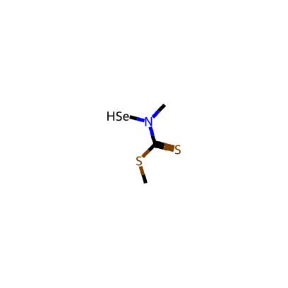 CSC(=S)N(C)[SeH]